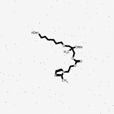 CCCCCCCCCCCCCCCCOCC(C)(COC(=O)OCCn1ccnc1C)OC